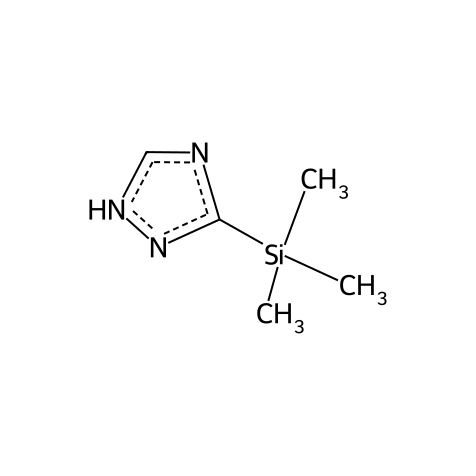 C[Si](C)(C)c1nc[nH]n1